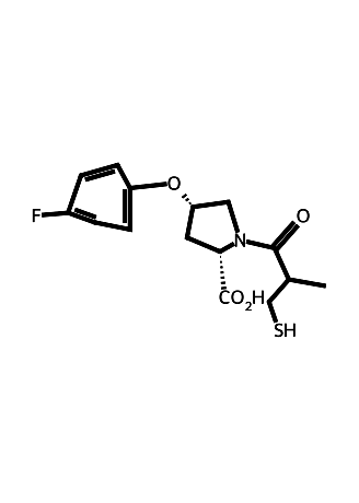 CC(CS)C(=O)N1C[C@@H](Oc2ccc(F)cc2)C[C@H]1C(=O)O